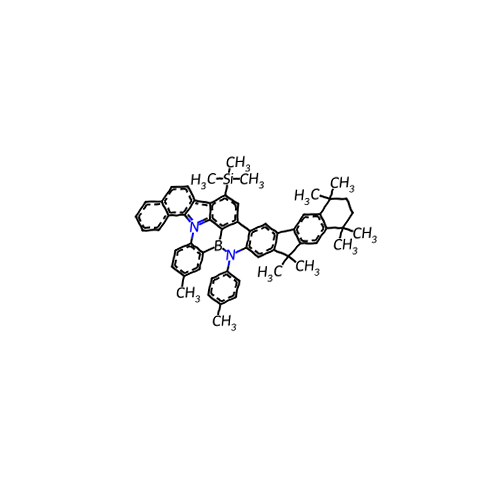 Cc1ccc(N2B3c4cc(C)ccc4-n4c5c3c(cc([Si](C)(C)C)c5c3ccc5ccccc5c34)-c3cc4c(cc32)C(C)(C)c2cc3c(cc2-4)C(C)(C)CCC3(C)C)cc1